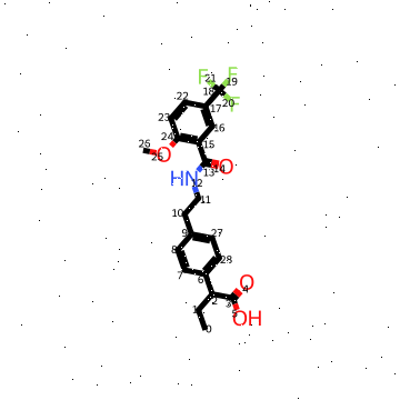 CCC(C(=O)O)c1ccc(CCNC(=O)c2cc(C(F)(F)F)ccc2OC)cc1